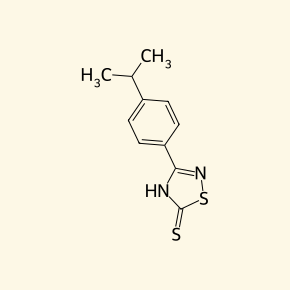 CC(C)c1ccc(-c2nsc(=S)[nH]2)cc1